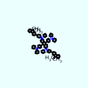 CC1(C)c2ccccc2-c2ccc(-c3ccc(N(c4ccccc4)c4ccc5c(-c6ccc(N(c7ccccc7)c7ccccc7)cc6)c6cc(N(c7ccccc7)c7ccc(-c8ccc9c(c8)C(C)(C)c8ccccc8-9)cc7)ccc6c(-c6ccc(N(c7ccccc7)c7ccccc7)cc6)c5c4)cc3)cc21